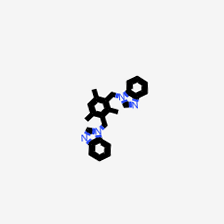 Cc1cc(C)c(Cn2cnc3ccccc32)c(C)c1Cn1cnc2ccccc21